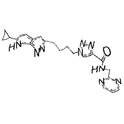 O=C(NCc1ncccn1)c1cn(CCCCc2cc3cc(C4CC4)[nH]c3nn2)nn1